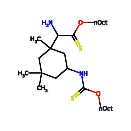 CCCCCCCCOC(=S)NC1CC(C)(C)CC(C)(C(N)C(=S)OCCCCCCCC)C1